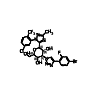 Cc1nc([C@@H]2O[C@H](CO)[C@H](O)[C@H](n3cc(-c4ccc(Br)cc4F)nn3)[C@H]2O)n(-c2cc(Cl)ccc2C(F)(F)F)n1